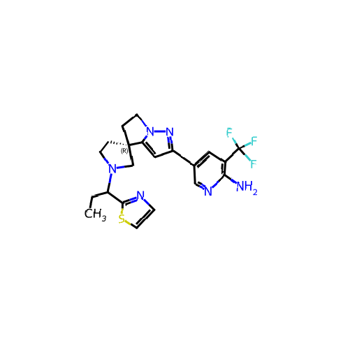 CCC(c1nccs1)N1CC[C@@]2(CCn3nc(-c4cnc(N)c(C(F)(F)F)c4)cc32)C1